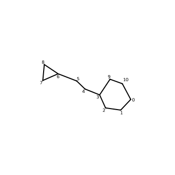 C1CCC(CCC2CC2)CC1